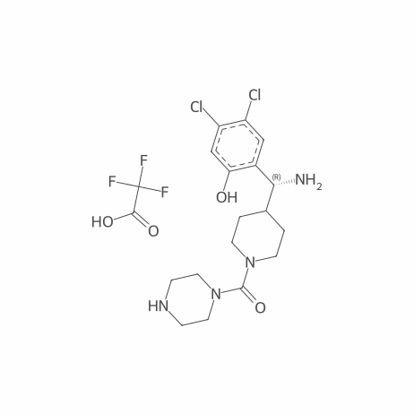 N[C@@H](c1cc(Cl)c(Cl)cc1O)C1CCN(C(=O)N2CCNCC2)CC1.O=C(O)C(F)(F)F